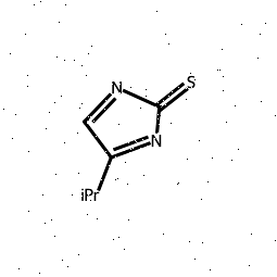 CC(C)C1=NC(=S)N=C1